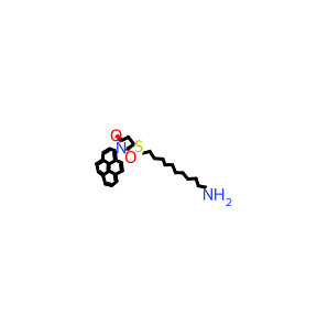 NCCCCCCCCCCCCSC1CC(=O)N(c2ccc3ccc4cccc5ccc2c3c45)C1=O